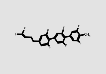 Cc1c(F)cc(-c2c(F)cc(-c3c(F)cc(CCC=C(F)F)cc3F)cc2F)cc1F